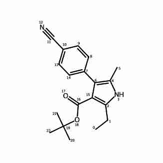 CCc1[nH]c(C)c(-c2ccc(C#N)cc2)c1C(=O)OC(C)(C)C